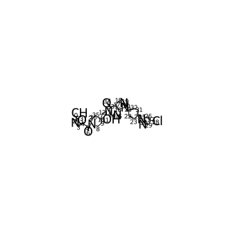 Cc1ncc(C(=O)N2CCC(O)(Cn3cnc4c(cnn4-c4ccc(-n5cc(Cl)cn5)cc4)c3=O)CC2)o1